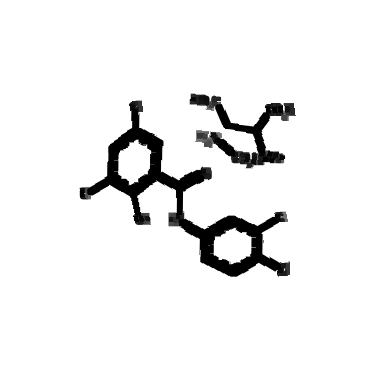 CCOC(N)=O.CNC(CC(=O)O)C(=O)O.O=C(Nc1ccc(Cl)c(Cl)c1)c1cc(Cl)cc(Cl)c1O